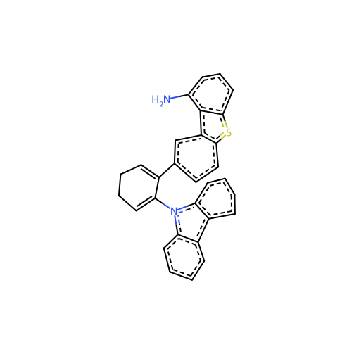 Nc1cccc2sc3ccc(C4=CCCC=C4n4c5ccccc5c5ccccc54)cc3c12